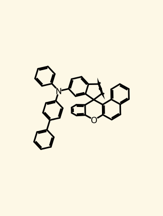 c1ccc(-c2ccc(N(c3ccccc3)c3ccc4c(c3)C3(c5ccccc5Oc5ccc6ccccc6c53)c3ccccc3-4)cc2)cc1